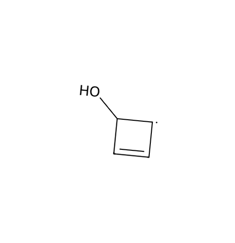 OC1[CH]C=C1